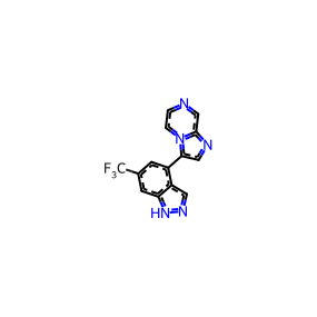 FC(F)(F)c1cc(-c2cnc3cnccn23)c2cn[nH]c2c1